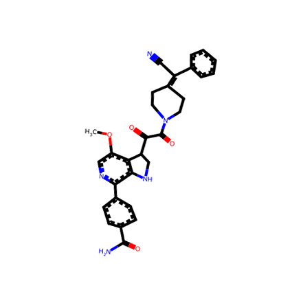 COc1cnc(-c2ccc(C(N)=O)cc2)c2c1C(C(=O)C(=O)N1CCC(=C(C#N)c3ccccc3)CC1)CN2